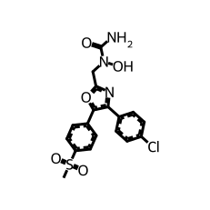 CS(=O)(=O)c1ccc(-c2oc(CN(O)C(N)=O)nc2-c2ccc(Cl)cc2)cc1